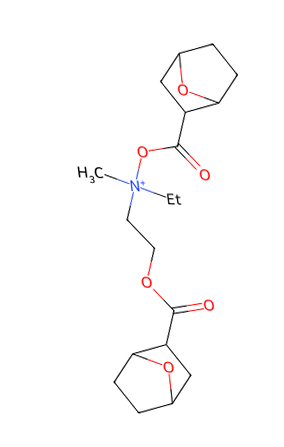 [CH2]C[N+](C)(CCOC(=O)C1CC2CCC1O2)OC(=O)C1CC2CCC1O2